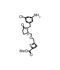 COC(=O)c1ccc(COC[C@H]2CCC(=O)N2Cc2cc(N)cc(Cl)c2)s1